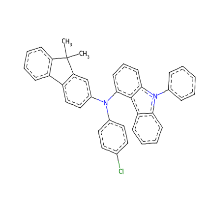 CC1(C)c2ccccc2-c2ccc(N(c3ccc(Cl)cc3)c3cccc4c3c3ccccc3n4-c3ccccc3)cc21